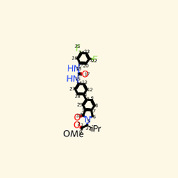 COC(=O)[C@H](C(C)C)N1Cc2ccc(-c3ccc(NC(=O)Nc4cc(F)cc(F)c4)cc3)cc2C1=O